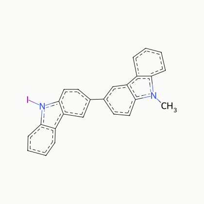 Cn1c2ccccc2c2cc(-c3ccc4c(c3)c3ccccc3n4I)ccc21